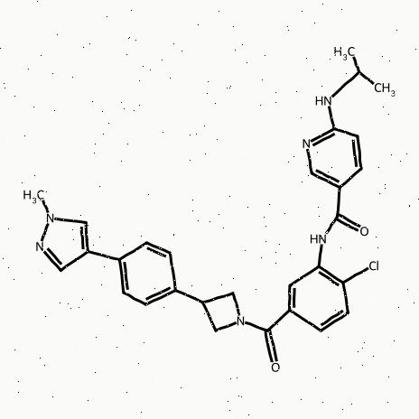 CC(C)Nc1ccc(C(=O)Nc2cc(C(=O)N3CC(c4ccc(-c5cnn(C)c5)cc4)C3)ccc2Cl)cn1